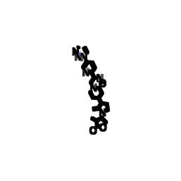 C=CN(/N=N\C)c1ccc(C(CN2CCC(C3CCN(C4COC(=O)C4C)C3=C)CC2)N=O)nc1